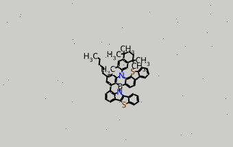 CCCCCc1cc2c3c(c1)N(c1cc4c(cc1C)C(C)(C)CCC4(C)C)c1c(ccc4c1sc1ccccc14)B3n1c3c-2cccc3c2sc3ccccc3c21